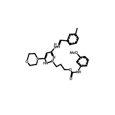 COc1cccc(NC(=O)OCCCN2N=C(NN=Cc3cccc(C)c3)C=C(N3CCOCC3)N2)c1